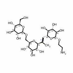 C/C(=C\[C@H]1O[C@@H](OCCN)[C@H](O)[C@@H](O)[C@@H]1O)[C@@H]1O[C@H](CO[C@@H]2O[C@H](CO)[C@@H](O)[C@H](O)[C@H]2O)[C@@H](O)[C@H](O)[C@H]1O